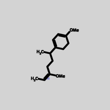 C/C=C(\CCC(C)C1=CC=C(OC)CC1)OC